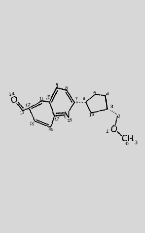 COC[C@H]1CC[C@@H](c2ccc3cc(C=O)ccc3n2)C1